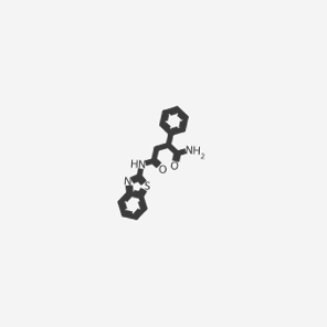 NC(=O)C(CC(=O)Nc1nc2ccccc2s1)c1ccccc1